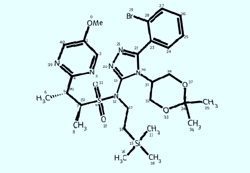 COc1cnc([C@@H](C)[C@H](C)S(=O)(=O)N(CC[Si](C)(C)C)c2nnc(-c3ccccc3Br)n2C2COC(C)(C)OC2)nc1